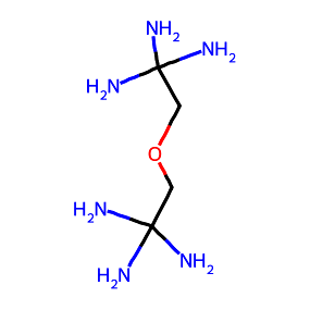 NC(N)(N)COCC(N)(N)N